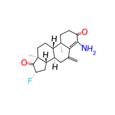 C=C1C[C@@H]2[C@H](CC[C@]3(C)C(=O)[C@@H](F)C[C@@H]23)[C@@]2(C)CCC(=O)C(N)=C12